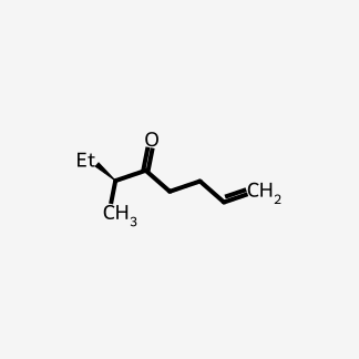 C=CCCC(=O)[C@@H](C)CC